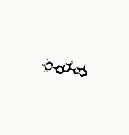 C[C@@H]1CN(c2ccc3cc(-c4cn5cccc(Cl)c5n4)c(=O)oc3c2)C[C@H](C)N1